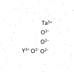 [O-2].[O-2].[O-2].[O-2].[Ta+5].[Y+3]